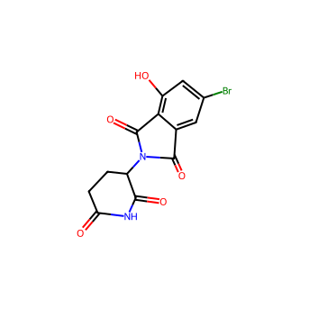 O=C1CCC(N2C(=O)c3cc(Br)cc(O)c3C2=O)C(=O)N1